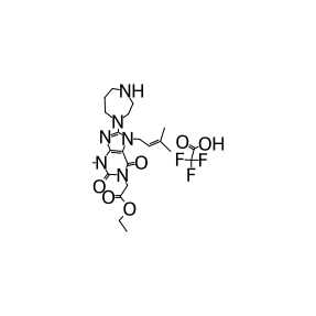 CCOC(=O)Cn1c(=O)c2c(nc(N3CCCNCC3)n2CC=C(C)C)n(C)c1=O.O=C(O)C(F)(F)F